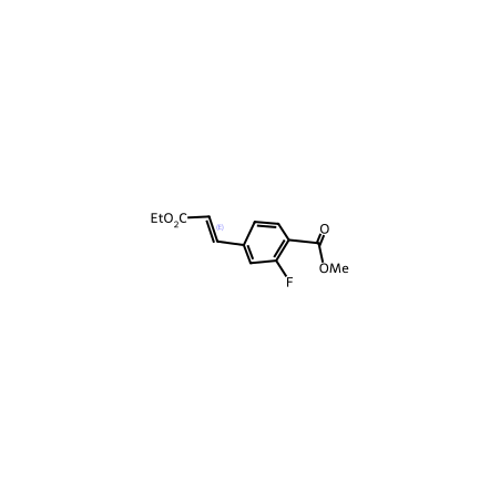 CCOC(=O)/C=C/c1ccc(C(=O)OC)c(F)c1